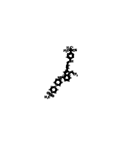 CC(C)(C#N)c1ccc(NCC#Cc2cc3c(NC4CCN(N5CCN(S(C)(=O)=O)CC5)CC4)cccc3n2CC(F)(F)F)cn1